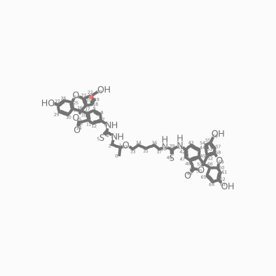 CC(CNC(=S)Nc1ccc2c(c1)C(=O)OC21c2ccc(O)cc2Oc2cc(O)ccc21)OCCCCCNC(=S)Nc1ccc2c(c1)C(=O)OC21c2ccc(O)cc2OC2C=C(O)C=CC21